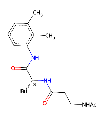 CCC(C)[C@@H](NC(=O)CCNC(C)=O)C(=O)Nc1cccc(C)c1C